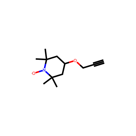 C#CCOC1CC(C)(C)N([O])C(C)(C)C1